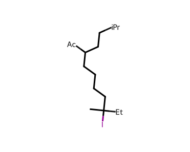 CCC(C)(I)CCCCC(CCC(C)C)C(C)=O